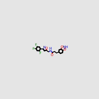 O=C(CCc1ccc2c(c1)ONO2)NCc1cc(-c2cc(F)c(F)cc2F)no1